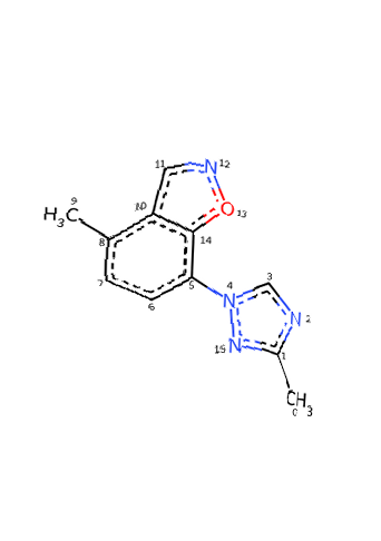 Cc1ncn(-c2ccc(C)c3cnoc23)n1